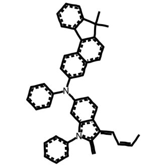 C=c1/c(=C\C=C/C)c2ccc(N(c3ccccc3)c3ccc4c5c(ccc4c3)C(C)(C)c3ccccc3-5)cc2n1-c1ccccc1